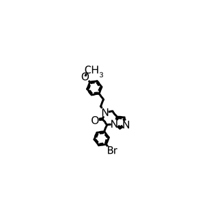 COc1ccc(CCN2Cc3cncn3C(c3cccc(Br)c3)C2=O)cc1